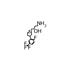 NCCC(O)CN1CCC(c2cc(C(F)(F)F)ccc2F)C1